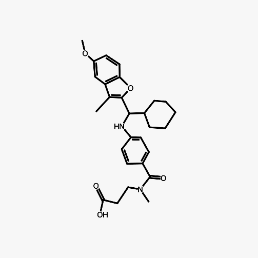 COc1ccc2oc(C(Nc3ccc(C(=O)N(C)CCC(=O)O)cc3)C3CCCCC3)c(C)c2c1